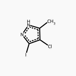 Cc1[nH]nc(I)c1Cl